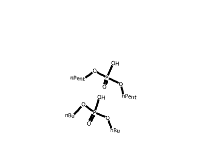 CCCCCOP(=O)(O)OCCCCC.CCCCOP(=O)(O)OCCCC